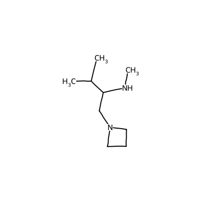 CNC(CN1CCC1)C(C)C